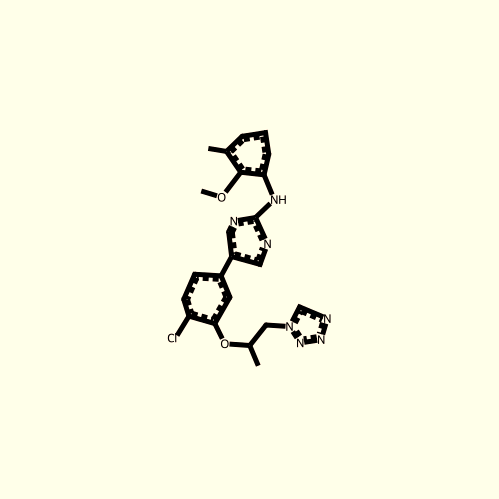 COc1c(C)cccc1Nc1ncc(-c2ccc(Cl)c(OC(C)Cn3cnnn3)c2)cn1